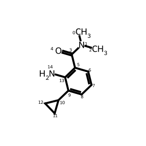 CN(C)C(=O)c1cccc(C2CC2)c1N